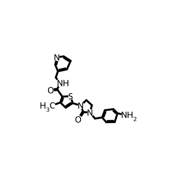 Cc1cc(N2CCN(Cc3ccc(N)cc3)C2=O)sc1C(=O)NCc1cccnc1